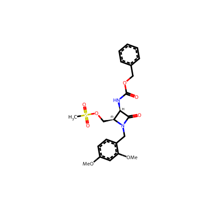 COc1ccc(CN2C(=O)[C@H](NC(=O)OCc3ccccc3)[C@@H]2COS(C)(=O)=O)c(OC)c1